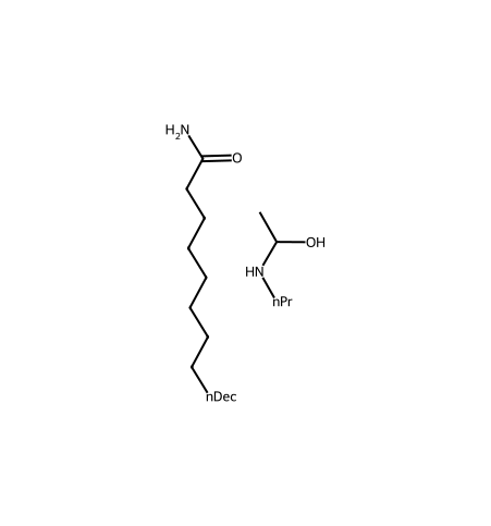 CCCCCCCCCCCCCCCCCC(N)=O.CCCNC(C)O